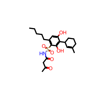 CCCCCc1cc(O)c(C2C=C(C)CCC2)c(O)c1S(=O)(=O)NC(=O)CC(C)=O